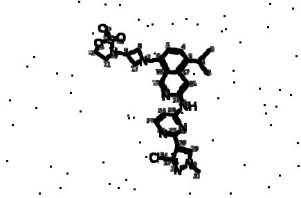 CC(C)c1ccc(N2CC(N3CCOS3(=O)=O)C2)c2cnc(Nc3ccnc(-c4cn(C)nc4Cl)n3)cc12